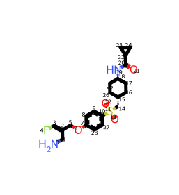 NC/C(=C\F)COc1ccc(S(=O)(=O)C[C@H]2CC[C@H](NC(=O)C3CC3)CC2)cc1